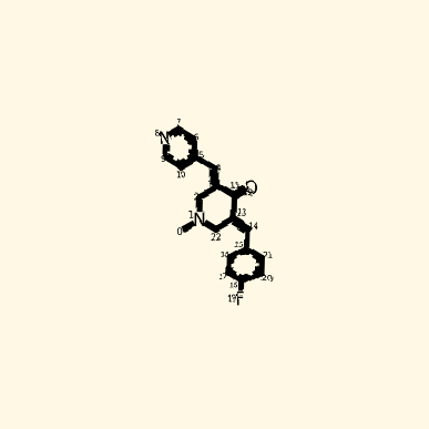 CN1C/C(=C\c2ccncc2)C(=O)/C(=C/c2ccc(F)cc2)C1